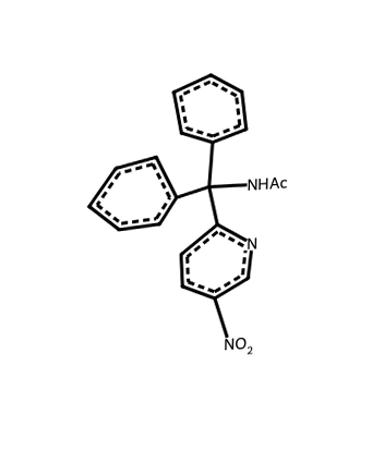 CC(=O)NC(c1ccccc1)(c1ccccc1)c1ccc([N+](=O)[O-])cn1